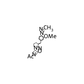 COc1cc(/C=C2\CCCN3C2=NOC2CN(C(C)=O)CC23)ccc1N1C=NC(C)C1